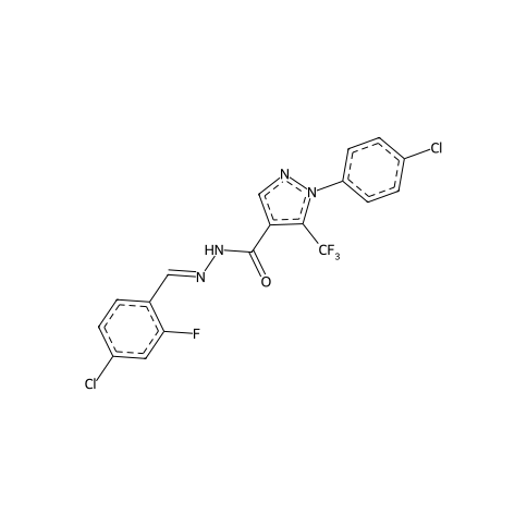 O=C(NN=Cc1ccc(Cl)cc1F)c1cnn(-c2ccc(Cl)cc2)c1C(F)(F)F